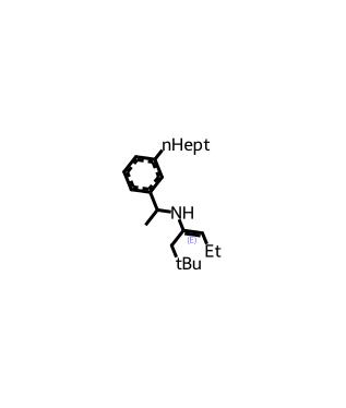 CC/C=C(\CC(C)(C)C)NC(C)c1cccc(CCCCCCC)c1